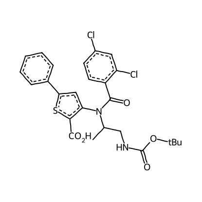 CC(CNC(=O)OC(C)(C)C)N(C(=O)c1ccc(Cl)cc1Cl)c1cc(-c2ccccc2)sc1C(=O)O